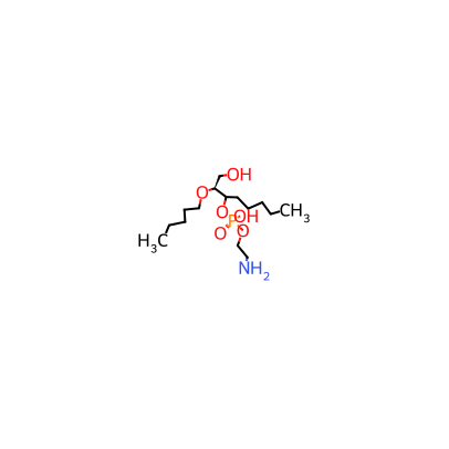 CCCCCO[C@@H](CO)C(CCCCC)OP(=O)(O)OCCN